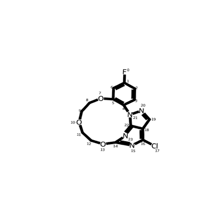 Fc1ccc2c(c1)OCCOCCOc1nc(Cl)c3cnn-2c3n1